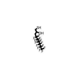 OC(CS)CC(F)(F)C(F)(F)C(F)(F)C(F)(F)C(F)(F)C(F)(F)F